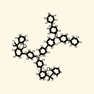 CC1(C)c2ccccc2Oc2c(-c3ccc(N(c4ccc(-c5ccc(N(c6ccc(-c7ccccc7)cc6)c6ccc(-c7ccccc7)cc6)cc5)cc4)c4ccc(-c5cccc6c5Oc5ccccc5C6(C)C)cc4)cc3)cccc21